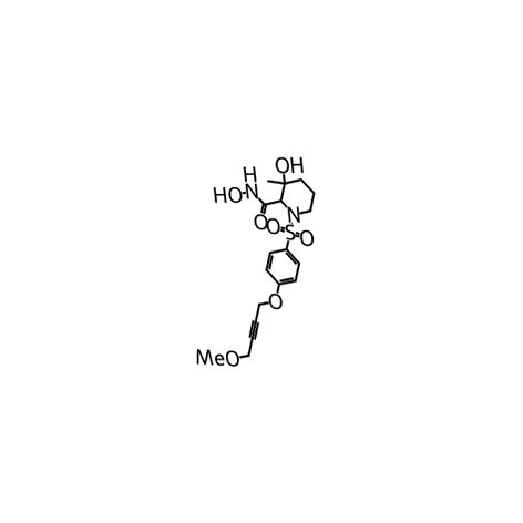 COCC#CCOc1ccc(S(=O)(=O)N2CCCC(C)(O)C2C(=O)NO)cc1